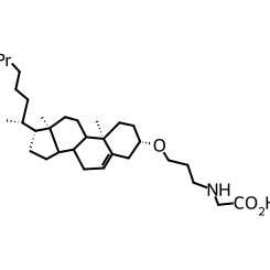 CC(C)CCC[C@@H](C)[C@H]1CCC2C3CC=C4C[C@@H](OCCCNCC(=O)O)CC[C@]4(C)C3CC[C@@]21C